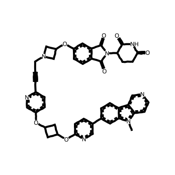 Cn1c2ccncc2c2ccc(-c3ccc(OC4CC(Oc5ccc(C#CCN6CC(Oc7ccc8c(c7)C(=O)N(C7CCC(=O)NC7=O)C8=O)C6)nc5)C4)nc3)cc21